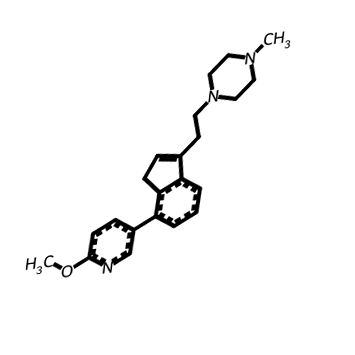 COc1ccc(-c2cccc3c2CC=C3CCN2CCN(C)CC2)cn1